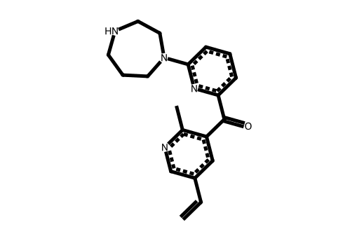 C=Cc1cnc(C)c(C(=O)c2cccc(N3CCCNCC3)n2)c1